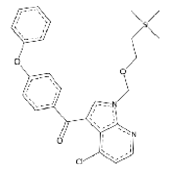 C[Si](C)(C)CCOCn1cc(C(=O)c2ccc(Oc3ccccc3)cc2)c2c(Cl)ccnc21